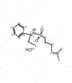 CCN(NS(=O)(=O)CCCCN(C)C)c1ccccc1.Cl